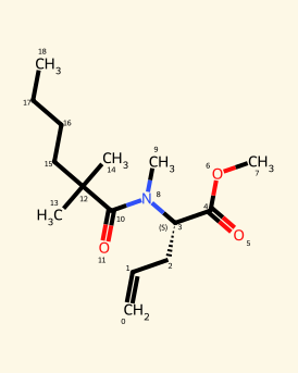 C=CC[C@@H](C(=O)OC)N(C)C(=O)C(C)(C)CCCC